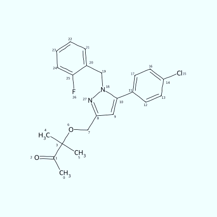 CC(=O)C(C)(C)OCc1cc(-c2ccc(Cl)cc2)n(Cc2ccccc2F)n1